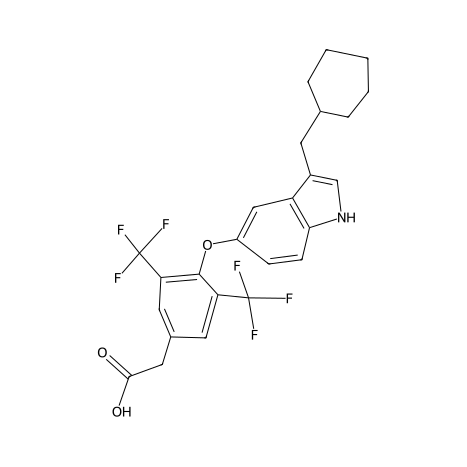 O=C(O)Cc1cc(C(F)(F)F)c(Oc2ccc3[nH]cc(CC4CCCCC4)c3c2)c(C(F)(F)F)c1